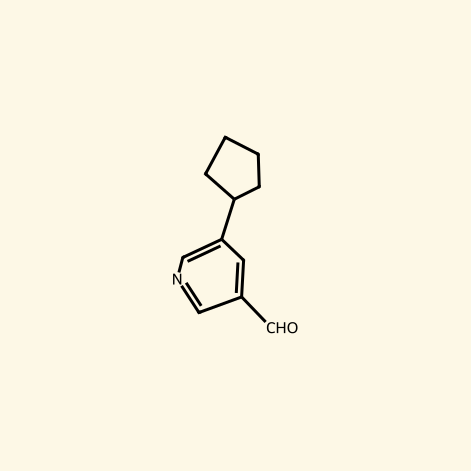 O=Cc1cncc(C2CCCC2)c1